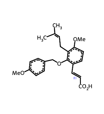 COc1ccc(COc2c(/C=C/C(=O)O)ccc(OC)c2CC=C(C)C)cc1